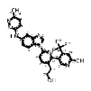 Cc1ccc(Nc2ccc3c(c2)ncn3-c2ccc(CCO)c(-c3cnc(O)cc3C(F)(F)F)n2)nn1